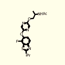 CC(=O)NC(C)COc1cnc(Oc2ccc3nc(C(C)C)sc3c2F)cn1